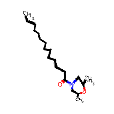 CC=CCCCCCCCCCCC(=O)N1CC(C)OC(C)C1